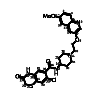 COc1ccc2ncc(OCCN3CCC(NC(=O)c4cc5c(cc4Cl)SCC(=O)N5)CC3)nc2c1